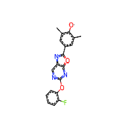 Cc1cc(-c2nc3cnc(Oc4ccccc4F)nc3o2)cc(C)c1[O]